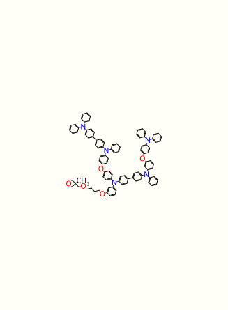 CC1(COCCCCOc2cccc(N(c3ccc(Oc4ccc(N(c5ccccc5)c5ccc(-c6ccc(N(c7ccccc7)c7ccccc7)cc6)cc5)cc4)cc3)c3ccc(-c4ccc(N(c5ccccc5)c5cccc(Oc6ccc(N(c7ccccc7)c7ccccc7)cc6)c5)cc4)cc3)c2)COC1